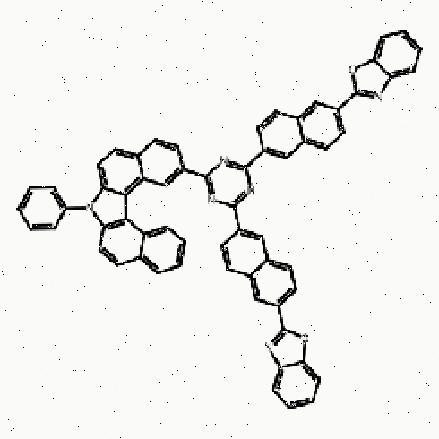 c1ccc(-n2c3ccc4ccccc4c3c3c4cc(-c5nc(-c6ccc7cc(-c8nc9ccccc9o8)ccc7c6)nc(-c6ccc7cc(-c8nc9ccccc9o8)ccc7c6)n5)ccc4ccc32)cc1